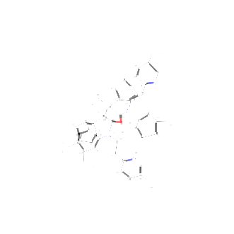 Cc1ccc(N(CCc2ccc(C(F)(F)F)cn2)C(=O)[C@](N)(c2ccccc2)[C@](O)(C(=O)N(CCc2ccc(C(F)(F)F)cn2)c2ccc(C)c(C)c2)c2ccccc2)cc1C